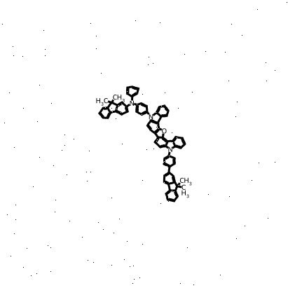 CC1(C)c2ccccc2-c2ccc(-c3ccc(-n4c5ccccc5c5c6oc7c(ccc8c7c7ccccc7n8-c7ccc(N(c8ccccc8)c8ccc9c(c8)C(C)(C)c8ccccc8-9)cc7)c6ccc54)cc3)cc21